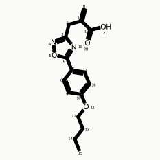 C=C(Cc1noc(-c2ccc(OCCCC)cc2)n1)C(=O)O